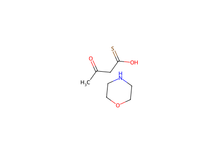 C1COCCN1.CC(=O)CC(O)=S